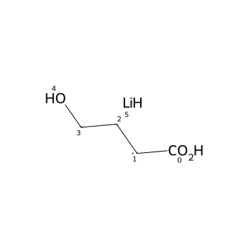 O=C(O)[CH]CCO.[LiH]